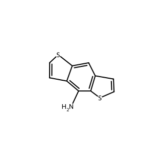 Nc1c2ccsc2cc2ccsc12